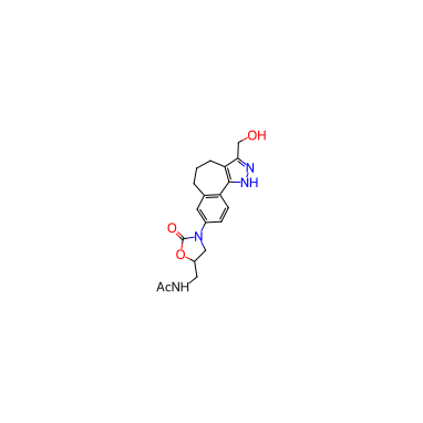 CC(=O)NCC1CN(c2ccc3c(c2)CCCc2c(CO)n[nH]c2-3)C(=O)O1